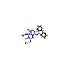 CCC(C)CN1CC2N(CC3c4ccccc4-c4ccccc43)CCC(=O)N2C(CC(C)C)C1=O